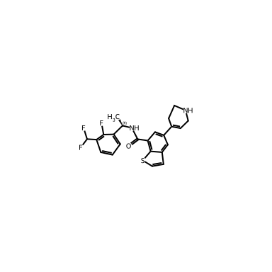 C[C@@H](NC(=O)c1cc(C2=CCNCC2)cc2ccsc12)c1cccc(C(F)F)c1F